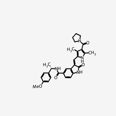 COc1ccc([C@H](C)NC(=O)c2ccc3c(c2)C(=Cc2[nH]c(C)c(C(=O)N4CCCC4)c2C)C(=O)N3)cc1